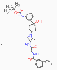 Cc1cccc(C(=O)NCC(=O)NC2CN(C3CCC(O)(c4cccc(NC(=O)OC(C)(C)C)c4)CC3)C2)c1